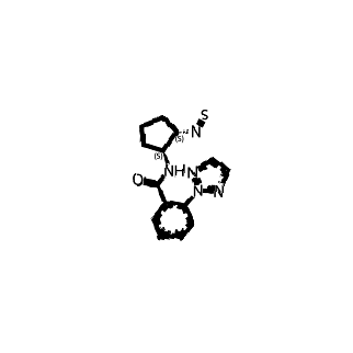 O=C(N[C@H]1CCC[C@@H]1N=S)c1ccccc1-n1nccn1